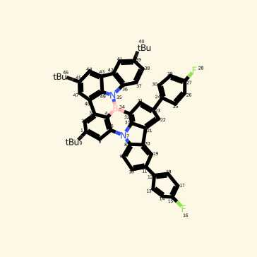 CC(C)(C)c1cc2c3c(c1)-n1c4ccc(-c5ccc(F)cc5)cc4c4cc(-c5ccc(F)cc5)cc(c41)B3n1c3ccc(C(C)(C)C)cc3c3cc(C(C)(C)C)cc-2c31